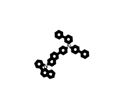 c1ccc(-c2ccc(N(c3ccc(-c4ccc5cc(-n6c7ccccc7c7ccc8ccccc8c76)ccc5c4)cc3)c3cccc(-c4ccccc4)c3)cc2)cc1